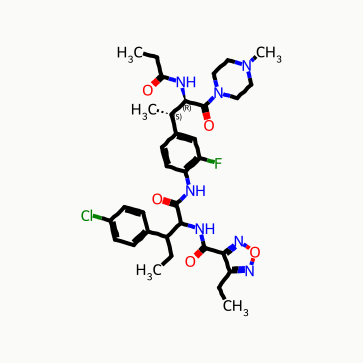 CCC(=O)N[C@@H](C(=O)N1CCN(C)CC1)[C@@H](C)c1ccc(NC(=O)C(NC(=O)c2nonc2CC)C(CC)c2ccc(Cl)cc2)c(F)c1